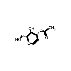 CC(=O)O[C@@H]1C=CO[C@H](CO)[C@H]1O